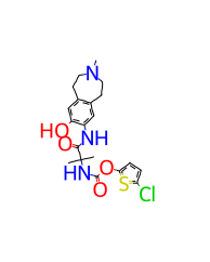 CN1CCc2cc(O)c(NC(=O)C(C)(C)NC(=O)Oc3ccc(Cl)s3)cc2CC1